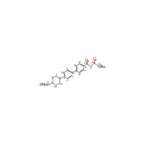 CCCCCCCCCC1CCC(c2ccc(-c3ccc(C(=O)CC(=O)CCCC)cc3)cc2)CC1